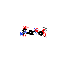 CCOc1ccc(-c2nc(-c3ccc(CN4C[C@H](O)C[C@H]4C(=O)N(C)C)cc3C)no2)cc1OCC